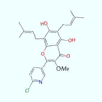 COc1c(-c2ccc(Cl)nc2)oc2c(CC=C(C)C)c(O)c(CC=C(C)C)c(O)c2c1=O